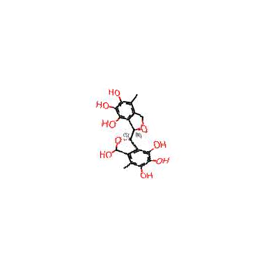 Cc1c(O)c(O)c(O)c2c1CO[C@H]2[C@H]1OC(O)c2c(C)c(O)c(O)c(O)c21